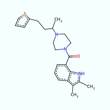 Cc1[nH]c2c(C(=O)N3CCN(C(C)CCc4cccs4)CC3)cccc2c1C